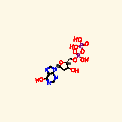 O=P(O)(O)OP(=O)(O)OC[C@H]1O[C@@H](n2cnc3c(O)ncnc32)CC1O